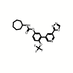 O=C(NC1CCCCCC1)Oc1ccc(OC(F)(F)F)c(-c2cncc(-c3nnco3)c2)c1